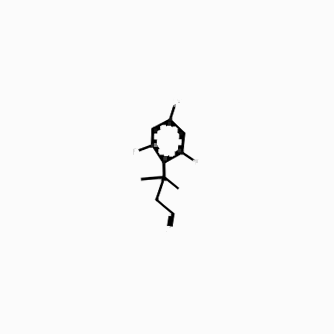 CC(C)(CC=O)c1c(F)cc(Br)cc1F